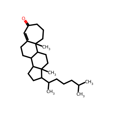 CC(C)CCCC(C)C1CCC2C3CCC4=CC(=O)CCCC4(C)C3CCC12C